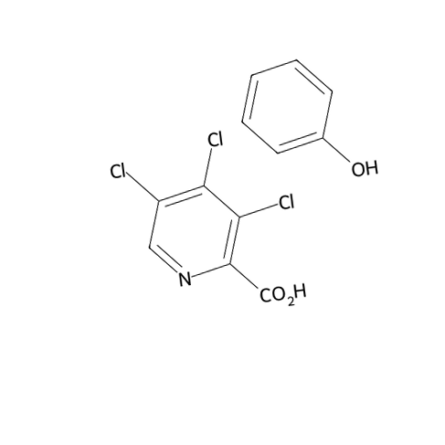 O=C(O)c1ncc(Cl)c(Cl)c1Cl.Oc1ccccc1